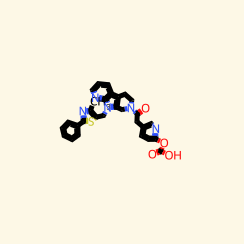 Cc1nc(-c2ccccc2)sc1Cn1c2c(c3cccnc31)CCN(C(=O)Cc1ccc(OC(=O)O)nc1)C2